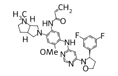 C=CC(=O)Nc1cc(Nc2cc(N3OCC[C@@H]3c3cc(F)cc(F)c3)ncn2)c(OC)cc1N1C[C@H]2CCN(C)[C@H]2C1